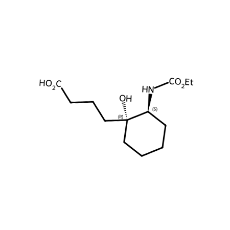 CCOC(=O)N[C@H]1CCCC[C@@]1(O)CCCC(=O)O